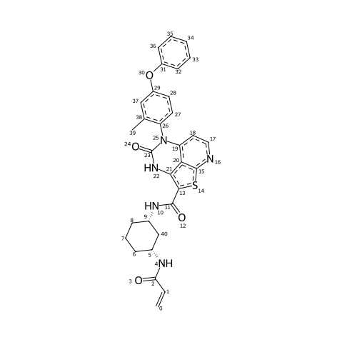 C=CC(=O)N[C@@H]1CCC[C@H](NC(=O)c2sc3nccc4c3c2NC(=O)N4c2ccc(Oc3ccccc3)cc2C)C1